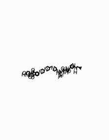 O=C1CCN(N2C(=O)c3ccc(N4CCC(N5CCC(CN6CCC(n7cc(NC(=O)c8coc(-c9ccnc(NCC%10CC%10)c9)n8)c(C(F)F)n7)CC6)CC5)CC4)cc3C2=O)C(=O)N1